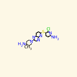 CC1(N)CCN(c2cnc3nc(Sc4ccc(N)nc4Cl)ccc3n2)CC1